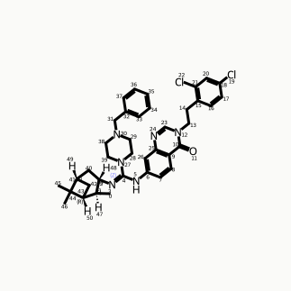 C[C@@H]1[C@@H](/N=C(/Nc2ccc3c(=O)n(CCc4ccc(Cl)cc4Cl)cnc3c2)N2CCN(Cc3ccccc3)CC2)C[C@@H]2C[C@H]1C2(C)C